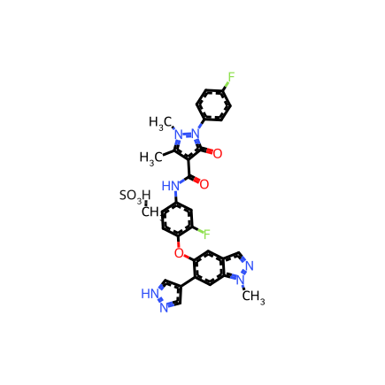 CS(=O)(=O)O.Cc1c(C(=O)Nc2ccc(Oc3cc4cnn(C)c4cc3-c3cn[nH]c3)c(F)c2)c(=O)n(-c2ccc(F)cc2)n1C